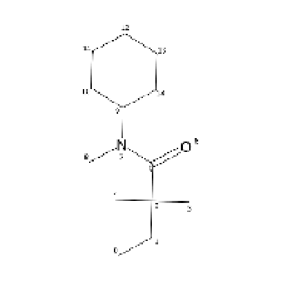 CCC(C)(C)C(=O)N(C)C1CCCCC1